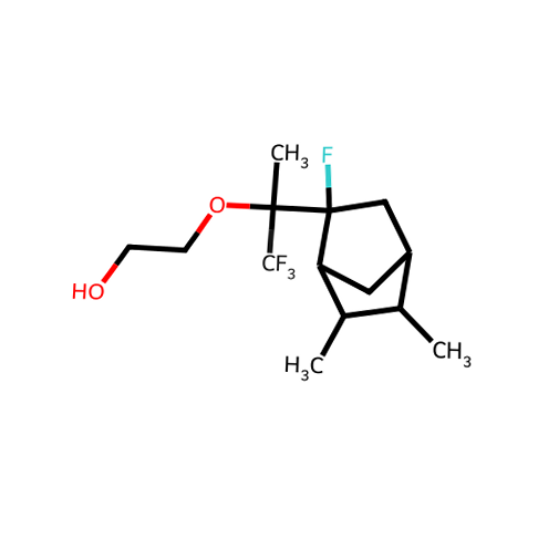 CC1C2CC(C1C)C(F)(C(C)(OCCO)C(F)(F)F)C2